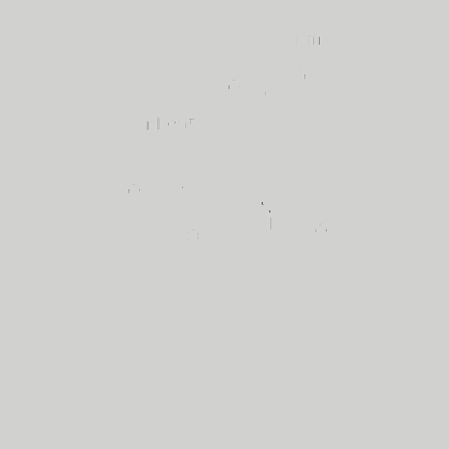 CCCCCC(C(=O)OCc1ccccc1)C1NC(=O)CC1C(=O)OC(C)(C)C